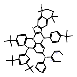 C/C=C\C(=C/C)N(c1ccccc1)c1cc2c3c(c1)N(c1ccc(C(C)(C)C)cc1)c1c(sc4cc5c(cc14)C(C)(I)CCC5(C)I)B3c1ccc(C(C)(C)C)cc1N2c1cc(C(C)(C)C)cc(C(C)(C)C)c1